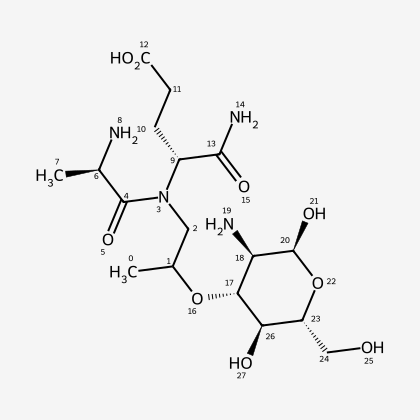 CC(CN(C(=O)[C@@H](C)N)[C@H](CCC(=O)O)C(N)=O)O[C@@H]1[C@@H](N)[C@@H](O)O[C@H](CO)[C@H]1O